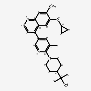 COc1cc2nncc(-c3cnc(N4CCC(C(C)(C)O)CC4)c(C)c3)c2cc1OC1CC1